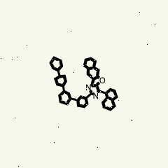 c1ccc(-c2ccc(-c3cccc(-c4cccc(-c5nc(-c6cccc7ccccc67)c6oc7cc8ccccc8cc7c6n5)c4)c3)cc2)cc1